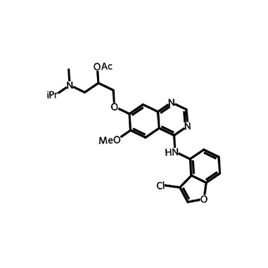 COc1cc2c(Nc3cccc4occ(Cl)c34)ncnc2cc1OCC(CN(C)C(C)C)OC(C)=O